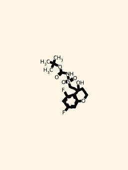 CC(C)(C)OC(=O)NS(=O)(=O)CC1(O)CCOc2cc(F)cc(F)c21